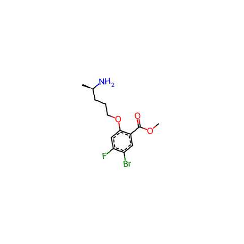 COC(=O)c1cc(Br)c(F)cc1OCCC[C@@H](C)N